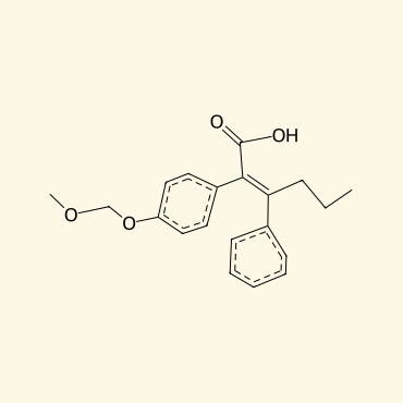 CCCC(=C(C(=O)O)c1ccc(OCOC)cc1)c1ccccc1